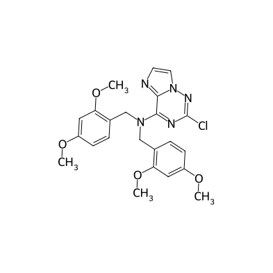 COc1ccc(CN(Cc2ccc(OC)cc2OC)c2nc(Cl)nn3ccnc23)c(OC)c1